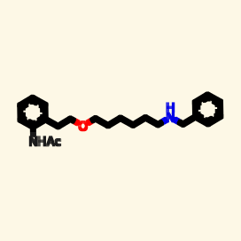 CC(=O)Nc1ccccc1CCOCCCCCCNCc1ccccc1